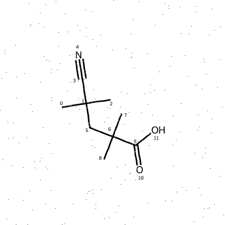 CC(C)(C#N)CC(C)(C)C(=O)O